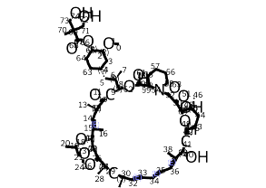 CO[C@@H]1C[C@H](C[C@@H](C)[C@@H]2CC(=O)[C@H](C)/C=C(\C)[C@@H](OC(C)C)[C@@H](OC)C(=O)[C@H](C)C[C@H](C)/C=C/C=C/C=C(\C)[C@@H](O)C[C@@H]3CC[C@@H](C)[C@@](O)(O3)C(=O)C(=O)N3CCCC[C@H]3C(=O)O2)CC[C@H]1OC(=O)C(C)(CO)CO